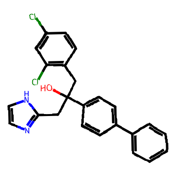 OC(Cc1ncc[nH]1)(Cc1ccc(Cl)cc1Cl)c1ccc(-c2ccccc2)cc1